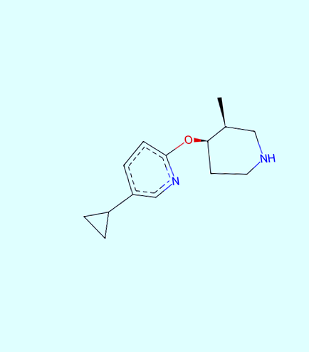 C[C@H]1CNCC[C@H]1Oc1ccc(C2CC2)cn1